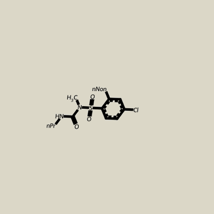 CCCCCCCCCc1cc(Cl)ccc1S(=O)(=O)N(C)C(=O)NCCC